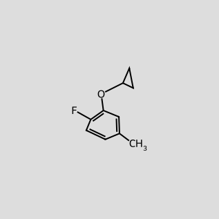 Cc1ccc(F)c(OC2CC2)c1